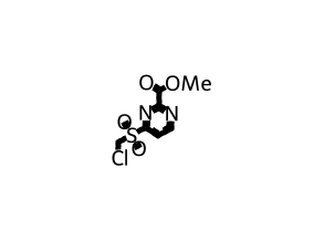 COC(=O)c1nccc(S(=O)(=O)CCl)n1